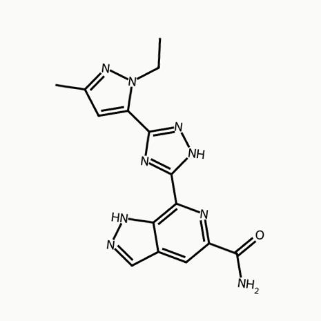 CCn1nc(C)cc1-c1n[nH]c(-c2nc(C(N)=O)cc3cn[nH]c23)n1